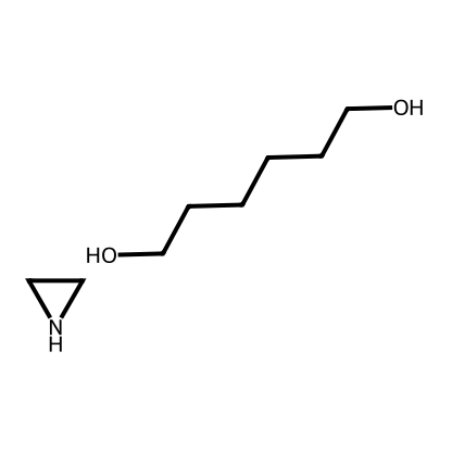 C1CN1.OCCCCCCO